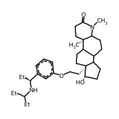 CCC(CC)N[C@@H](CC)c1cccc(OCC[C@]23CCC4C(CCC5N(C)C(=O)CC[C@]45C)C2CC[C@@H]3O)c1